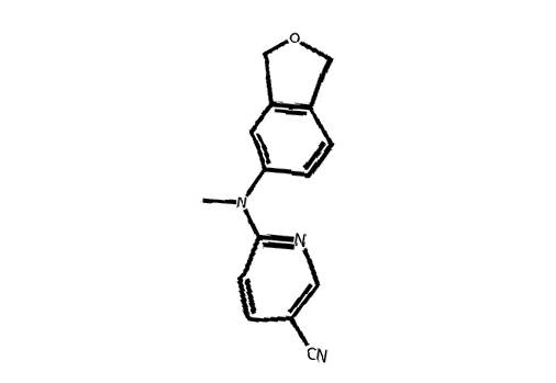 CN(c1ccc2c(c1)COC2)c1ccc(C#N)cn1